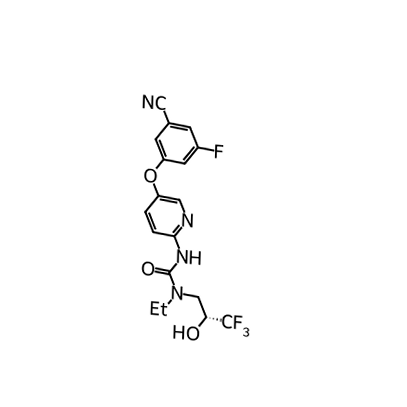 CCN(C[C@@H](O)C(F)(F)F)C(=O)Nc1ccc(Oc2cc(F)cc(C#N)c2)cn1